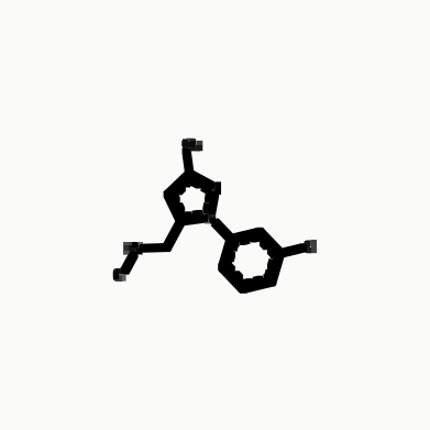 CC(C)(C)c1cc(CNCl)n(-c2cccc(Cl)c2)n1